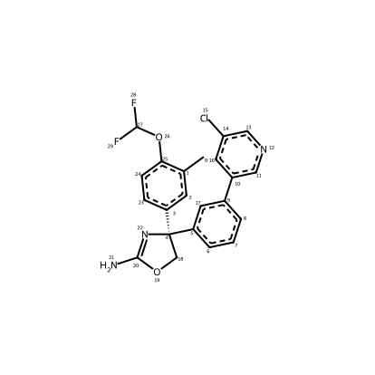 Cc1cc([C@]2(c3cccc(-c4cncc(Cl)c4)c3)COC(N)=N2)ccc1OC(F)F